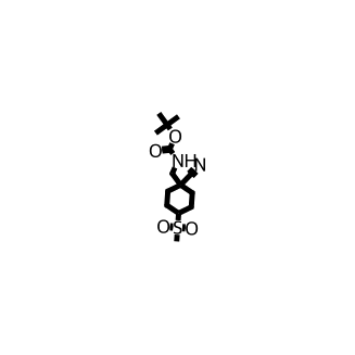 CC(C)(C)OC(=O)NCC1(C#N)CCC(S(C)(=O)=O)CC1